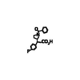 O=C(O)C=C(c1ccc(F)cc1)C1CCN(C(=O)c2ccccc2)C1